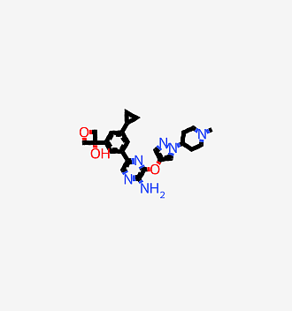 CN1CCC(n2cc(Oc3nc(-c4cc(C5CC5)cc(C5(O)COC5)c4)cnc3N)cn2)CC1